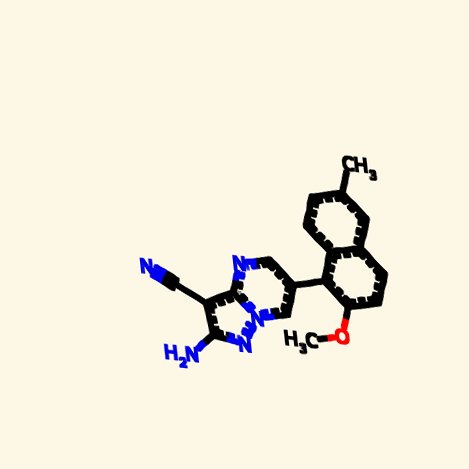 COc1ccc2cc(C)ccc2c1-c1cnc2c(C#N)c(N)nn2c1